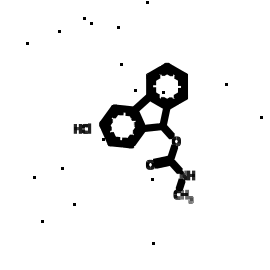 CNC(=O)OC1c2ccccc2-c2ccccc21.Cl